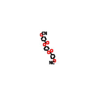 N#COc1ccc(C(=O)Oc2ccc(OC(=O)c3ccc(OC#N)cc3)cc2)cc1